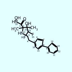 CC(NCCc1ccc(-c2ccccc2)cc1)(C(=O)NO)C(C)(O)C(F)F